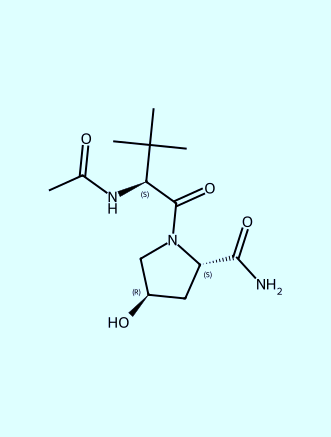 CC(=O)N[C@H](C(=O)N1C[C@H](O)C[C@H]1C(N)=O)C(C)(C)C